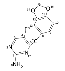 Nc1ncc(F)c(Cc2ccc3c(c2)OCO3)n1